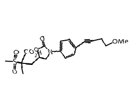 COCCC#Cc1ccc(N2CC(CC(C)(C(=O)O)S(C)(=O)=O)OC2=O)cc1